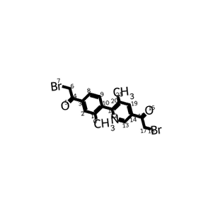 Cc1cc(C(=O)CBr)ccc1-c1ncc(C(=O)CBr)cc1C